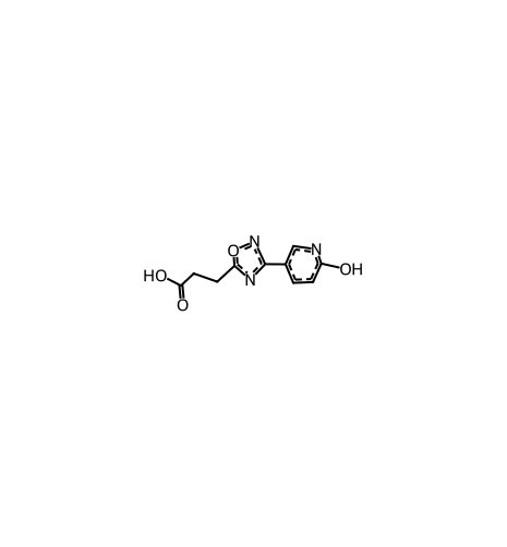 O=C(O)CCc1nc(-c2ccc(O)nc2)no1